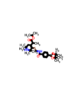 CC(C)OC(=O)C(C)C1=C(SCNC(=O)c2ccc(B3OC(C)(C)C(C)(C)O3)cc2)C(C)(C)NC(C)(C)C1